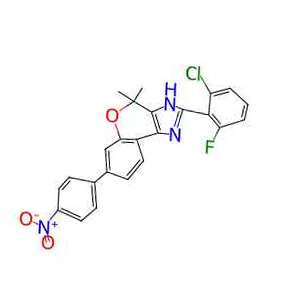 CC1(C)Oc2cc(-c3ccc([N+](=O)[O-])cc3)ccc2-c2nc(-c3c(F)cccc3Cl)[nH]c21